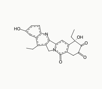 CCc1c2c(nc3ccc(O)cc13)-c1cc3c(c(=O)n1C2)CC(=O)C(=O)[C@]3(O)CC